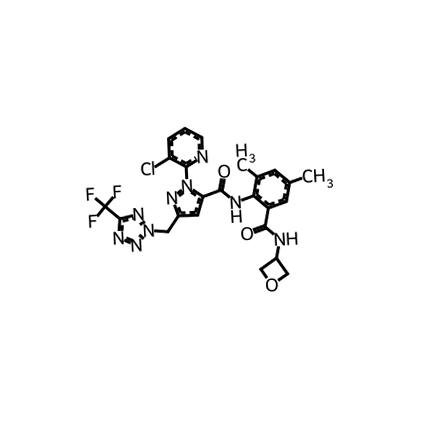 Cc1cc(C)c(NC(=O)c2cc(Cn3nnc(C(F)(F)F)n3)nn2-c2ncccc2Cl)c(C(=O)NC2COC2)c1